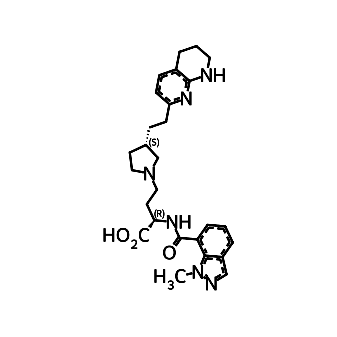 Cn1ncc2cccc(C(=O)N[C@H](CCN3CC[C@H](CCc4ccc5c(n4)NCCC5)C3)C(=O)O)c21